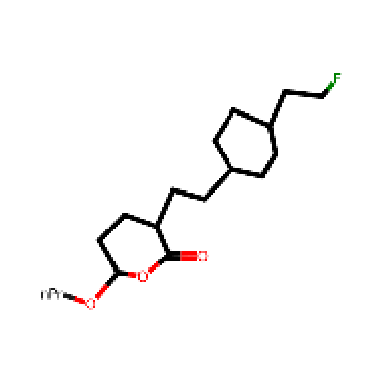 CCCOC1CCC(CCC2CCC(CCF)CC2)C(=O)O1